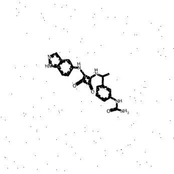 CC(Nc1c(Nc2ccc3[nH]ncc3c2)c(=O)c1=O)c1cccc(NC(N)=O)c1